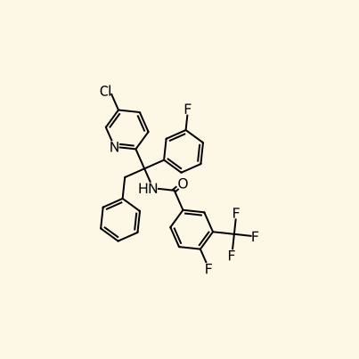 O=C(NC(Cc1ccccc1)(c1cccc(F)c1)c1ccc(Cl)cn1)c1ccc(F)c(C(F)(F)F)c1